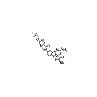 CC(C)(C)NC(=O)[C@]12CC1[C@@](C)(c1cc(NC(=O)c3cnc(OCC(F)(F)F)cn3)ccc1F)N=C(N)S2